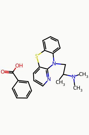 CC(CN1c2ccccc2Sc2cccnc21)N(C)C.O=C(O)c1ccccc1